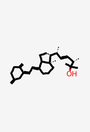 C=C1CCC(=C)/C(=C\C=C2/CCC[C@@]3(C)C2CC[C@@H]3[C@H](C)/C=C/[C@H](C)C(C)(C)O)C1